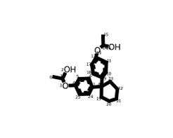 CC(O)Oc1ccc(C2(c3ccc(OC(C)O)cc3)CCCCC2)cc1